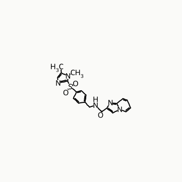 Cc1cnc(S(=O)(=O)c2ccc(CNC(=O)c3cn4ccccc4n3)cc2)n1C